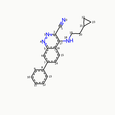 N#Cc1nnc2cc(-c3ccccc3)ccc2c1NCCC1CC1